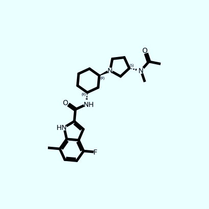 CC(=O)N(C)[C@H]1CCN([C@@H]2CCC[C@@H](NC(=O)c3cc4c(F)ccc(C)c4[nH]3)C2)C1